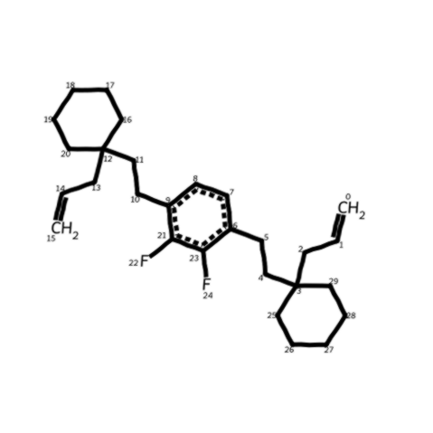 C=CCC1(CCc2ccc(CCC3(CC=C)CCCCC3)c(F)c2F)CCCCC1